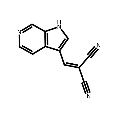 N#CC(C#N)=Cc1c[nH]c2cnccc12